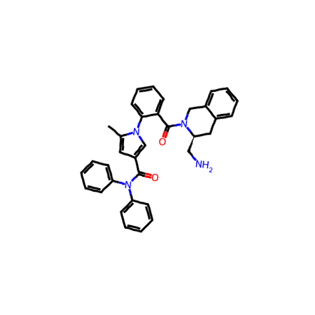 Cc1cc(C(=O)N(c2ccccc2)c2ccccc2)cn1-c1ccccc1C(=O)N1Cc2ccccc2C[C@H]1CN